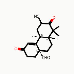 CC1(C)C(=O)C(C#N)C[C@]2(C)C3=CC(=O)CC[C@]3(C=O)CC[C@@H]12